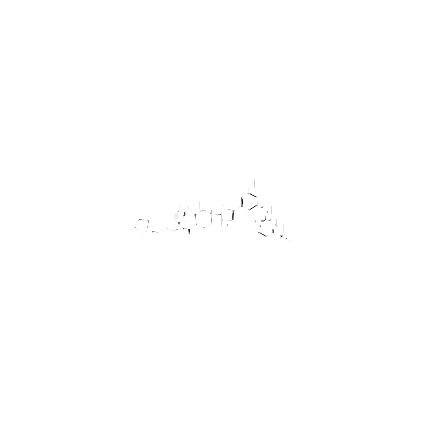 Cc1cc(Nc2nccc(C(F)(F)F)n2)cc(-c2cnc(C3(O)CCC(C(=O)NCCCN4CCCC4=O)C(C)(C)C3)s2)c1